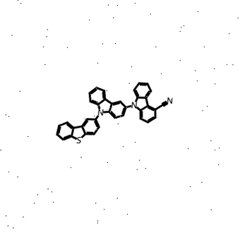 N#Cc1cccc2c1c1ccccc1n2-c1ccc2c(c1)c1ccccc1n2-c1ccc2sc3ccccc3c2c1